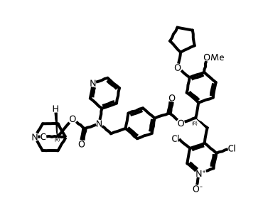 COc1ccc([C@@H](Cc2c(Cl)c[n+]([O-])cc2Cl)OC(=O)c2ccc(CN(C(=O)O[C@H]3CN4CCC3CC4)c3cccnc3)cc2)cc1OC1CCCC1